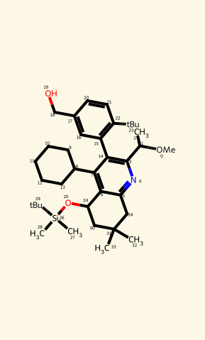 COC(C)c1nc2c(c(C3CCCCC3)c1-c1cc(CO)ccc1C(C)(C)C)C(O[Si](C)(C)C(C)(C)C)CC(C)(C)C2